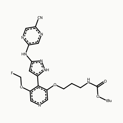 CC(C)(C)OC(=O)NCCCOc1cncc(OCF)c1-c1cc(Nc2cnc(C#N)cn2)n[nH]1